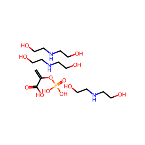 C=C(OP(=O)(O)O)C(=O)O.OCCNCCO.OCCNCCO.OCCNCCO